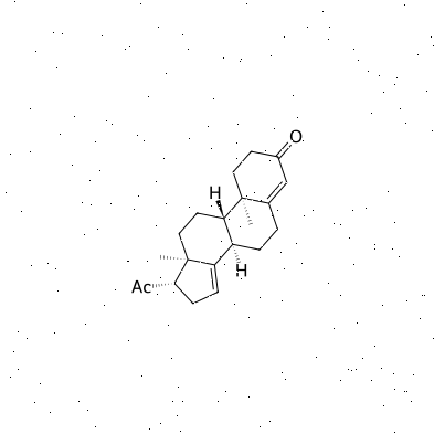 CC(=O)[C@H]1CC=C2[C@@H]3CCC4=CC(=O)CC[C@]4(C)[C@H]3CC[C@@]21C